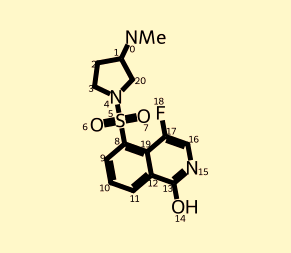 CNC1CCN(S(=O)(=O)c2cccc3c(O)ncc(F)c23)C1